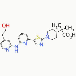 CC(C)(C(=O)O)C1CCN(c2ncc(-c3cccc(Nc4cc(CCO)ccn4)n3)s2)CC1